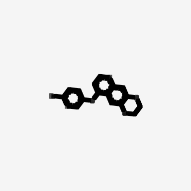 Brc1ccc(Oc2ccnc3cc4c(cc23)OCCO4)cn1